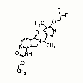 CCOC(=O)Nc1nccc2c1CN(C(C)c1cnc(OCC(F)F)c(C)c1)C2=O